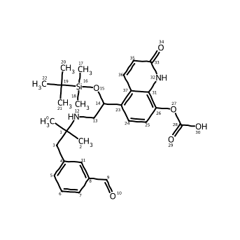 CC(C)(Cc1cccc(C=O)c1)NCC(O[Si](C)(C)C(C)(C)C)c1ccc(OC(=O)O)c2[nH]c(=O)ccc12